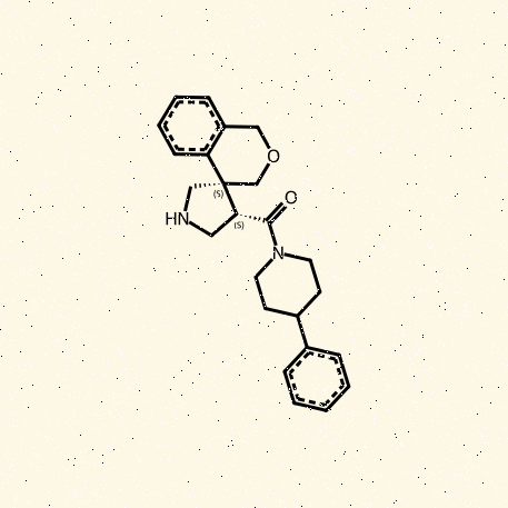 O=C([C@@H]1CNC[C@]12COCc1ccccc12)N1CCC(c2ccccc2)CC1